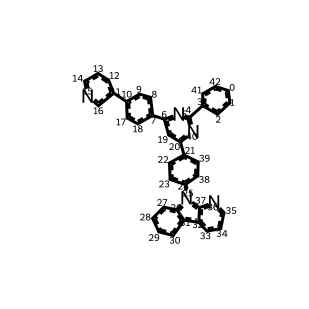 c1ccc(-c2nc(-c3ccc(-c4cccnc4)cc3)cc(-c3ccc(-n4c5ccccc5c5cccnc54)cc3)n2)cc1